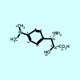 CN(C)c1ccc([C@H](N)[C@@H](O)C(=O)O)cc1